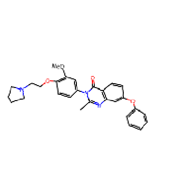 COc1cc(-n2c(C)nc3cc(Oc4ccccc4)ccc3c2=O)ccc1OCCN1CCCC1